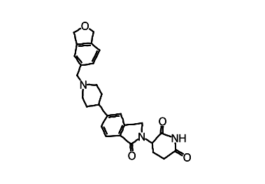 O=C1CCC(N2Cc3cc(C4CCN(Cc5ccc6c(c5)COC6)CC4)ccc3C2=O)C(=O)N1